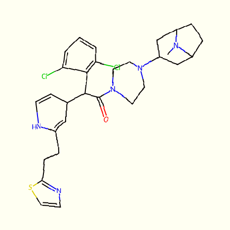 CN1C2CCC1CC(N1CCN(C(=O)C(c3c(Cl)cccc3Cl)C3C=CNC(CCc4nccs4)=C3)CC1)C2